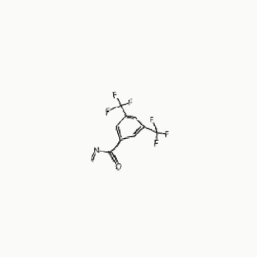 C=NC(=O)c1cc(C(F)(F)F)cc(C(F)(F)F)c1